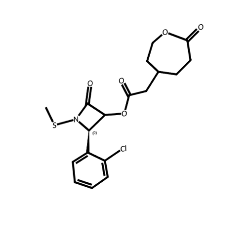 CSN1C(=O)C(OC(=O)CC2CCOC(=O)CC2)[C@H]1c1ccccc1Cl